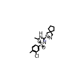 CCN/C(=N\S(=O)(=O)c1ccc(C)c(Cl)c1)N1CC2(C=N1)CCCC2